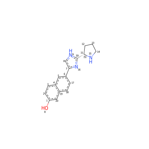 Oc1ccc2cc(-c3c[nH]c([C@@H]4CCCN4)n3)ccc2c1